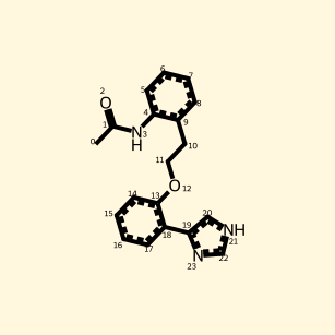 CC(=O)Nc1ccccc1CCOc1ccccc1-c1c[nH]cn1